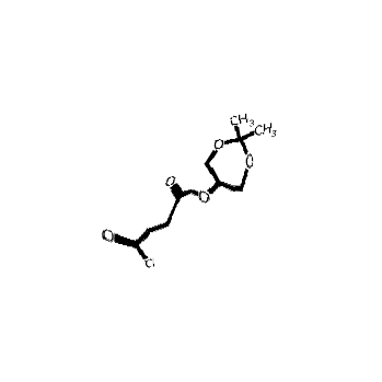 CC1(C)OCC(OC(=O)CCC(=O)Cl)CO1